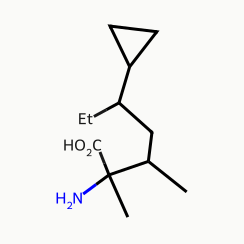 CCC(CC(C)C(C)(N)C(=O)O)C1CC1